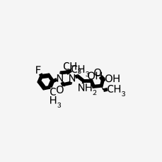 CC[C@H](C[C@H](O)[C@@H](N)CN1CC(=O)N(c2cc(F)ccc2C)CC1(C)C)C(=O)O